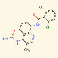 Cc1cnc2c(NC(=O)c3c(Cl)cccc3Cl)cccc2c1NC(N)=O